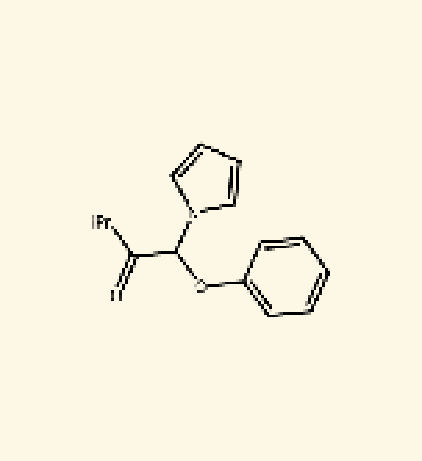 CC(C)C(=O)C(Oc1ccccc1)n1cccc1